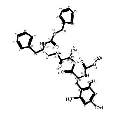 Cc1cc(O)cc(C)c1C[C@H](NC(=O)OC(C)(C)C)C(=O)N[C@H](C)C(=O)NC[C@H](Cc1ccccc1)NC(=O)OCc1ccccc1